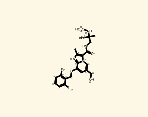 CCCC(C)(CNC(=O)c1c(C)nc2c(OCc3c(F)cccc3F)cc(CO)cn12)NC(=O)O